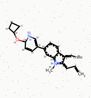 C=C/C=c1\c(=C/CCCC)c2ccc(C3=CNC(OC4CCC4)C=C3)cc2n1C